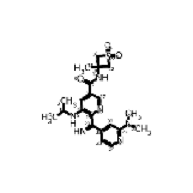 CC(C)Nc1cc(C(=O)NC2(C)CS(=O)(=O)C2)cnc1C(=N)c1ccnc(N(C)C)c1